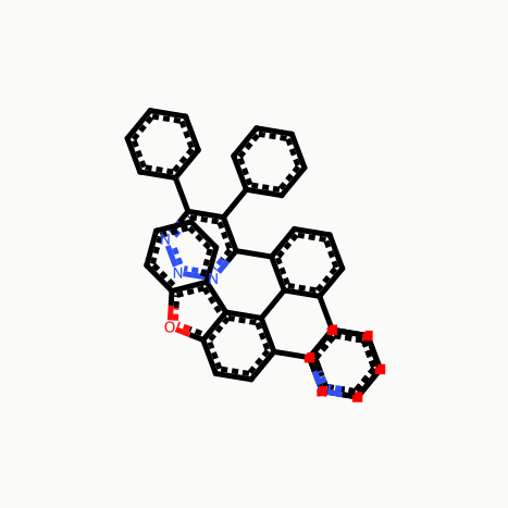 c1ccc(-c2cccc(-c3nnnc(-c4ccccc4)c3-c3ccccc3)c2-c2c(-c3ccccn3)ccc3oc4ccccc4c23)cc1